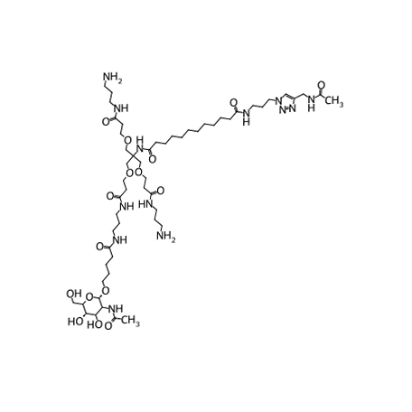 CC(=O)NCc1cn(CCCNC(=O)CCCCCCCCCCC(=O)NC(COCCC(=O)NCCCN)(COCCC(=O)NCCCN)COCCC(=O)NCCCNC(=O)CCCCO[C@@H]2OC(CO)[C@H](O)C(O)C2NC(C)=O)nn1